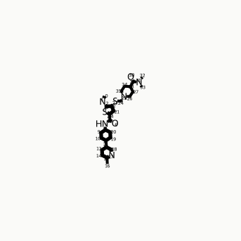 C=Nc1sc(C(=O)Nc2ccc(-c3ccc(C)nc3)cc2)cc1SCN1CCC(C(=O)N(C)C)CC1